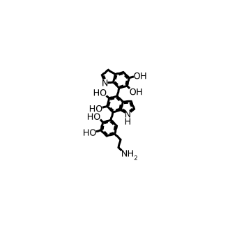 NCCc1cc(O)c(O)c(-c2c(O)c(O)c(-c3c(O)c(O)cc4c3N=CC4)c3cc[nH]c23)c1